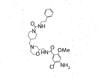 COc1cc(N)c(Cl)cc1C(=O)NCC1CN(CC2CCN(C(=O)NCCc3ccccc3)CC2)CCO1